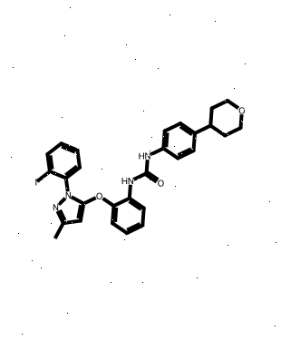 Cc1cc(Oc2ccccc2NC(=O)Nc2ccc(C3CCOCC3)cc2)n(-c2ccccc2I)n1